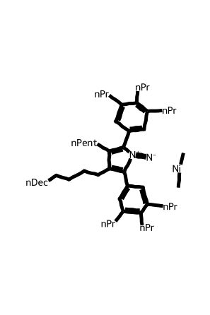 CCCCCCCCCCCCCCC1=C(c2cc(CCC)c(CCC)c(CCC)c2)[N+](=[N-])C(c2cc(CCC)c(CCC)c(CCC)c2)=C1CCCCC.[CH3][Ni][CH3]